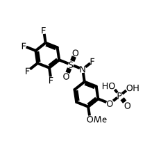 COc1ccc(N(F)S(=O)(=O)c2cc(F)c(F)c(F)c2F)cc1OP(=O)(O)O